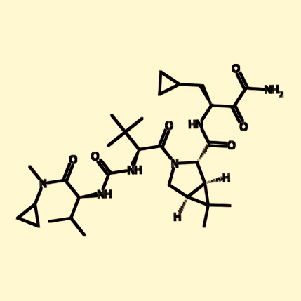 CC(C)[C@H](NC(=O)N[C@H](C(=O)N1C[C@H]2[C@@H]([C@H]1C(=O)N[C@@H](CC1CC1)C(=O)C(N)=O)C2(C)C)C(C)(C)C)C(=O)N(C)C1CC1